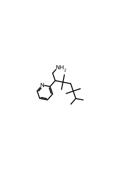 CC(C)C(C)(C)CC(C)(C)C(CN)c1ccccn1